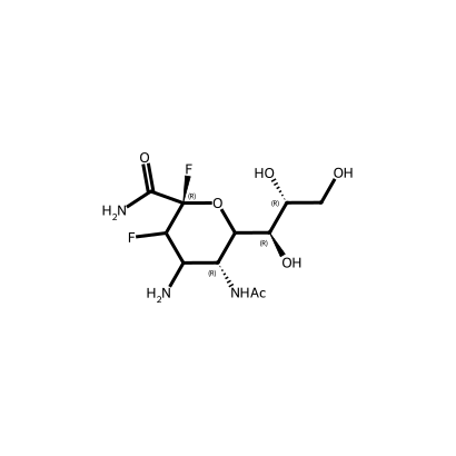 CC(=O)N[C@@H]1C(N)C(F)[C@](F)(C(N)=O)OC1[C@H](O)[C@H](O)CO